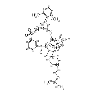 Cc1cccc(C)c1-c1cc2nc(n1)NS(=O)(=O)c1cccc(c1)C(=O)N(C1CC3(CCN(CCOC(C)C)CC3)C1)[C@H](CC(C)(C)C(F)(F)F)CO2